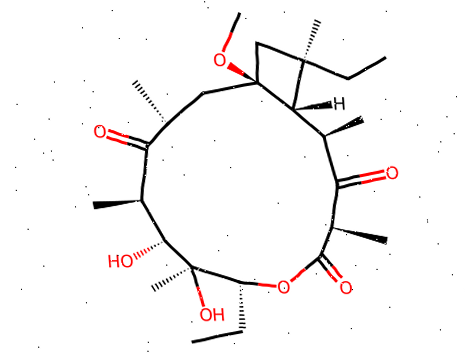 CC[C@H]1OC(=O)[C@H](C)C(=O)[C@H](C)[C@H]2[C@](C)(CC)C[C@@]2(OC)C[C@@H](C)C(=O)[C@H](C)[C@@H](O)[C@]1(C)O